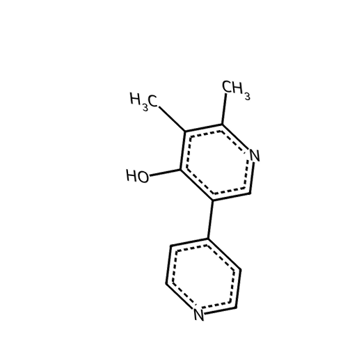 Cc1ncc(-c2ccncc2)c(O)c1C